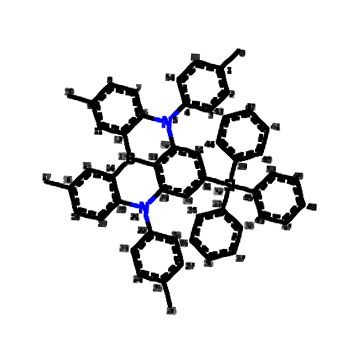 Cc1ccc(N2c3ccc(C)cc3B3c4cc(C)ccc4N(c4ccc(C)cc4)c4cc([Si](c5ccccc5)(c5ccccc5)c5ccccc5)cc2c43)cc1